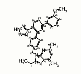 CCc1nc2c(C)cc(C)nc2n1Cc1ccc(-c2cc(-c3cccc(OC)c3)ccc2-c2nn[nH]n2)cc1